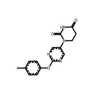 O=C1CCN(c2cnc(Oc3ccc(I)cc3)nc2)C(=O)N1